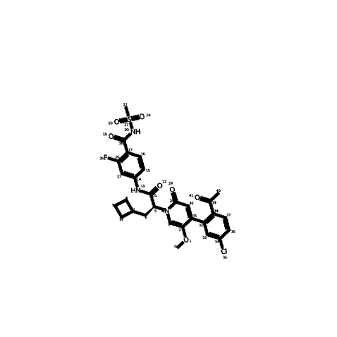 COc1cn([C@@H](CC2CCC2)C(=O)Nc2ccc(C(=O)NS(C)(=O)=O)c(F)c2)c(=O)cc1-c1cc(Cl)ccc1C(C)=O